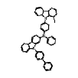 IC1CCCC2C3C=CC=CC3N(C3=CC=C(N(C4=CCCC=C4)C4C=C5C(=CC4)C4CC=CC=C4N5c4ccc(-c5ccccc5)cc4)CC3)C12